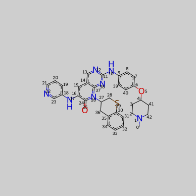 CN1CCC(Oc2ccc(Nc3ncc4cc(Nc5cccnc5)c(=O)n(C5CSc6ccccc6C5)c4n3)cc2)CC1